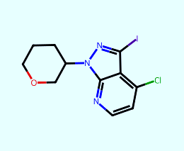 Clc1ccnc2c1c(I)nn2C1CCCOC1